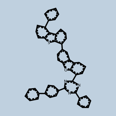 c1ccc(-c2ccc(-c3nc(-c4ccccc4)nc(-c4cccc5c4oc4ccc(-c6cccc7c6sc6cccc(-c8ccccc8)c67)cc45)n3)cc2)cc1